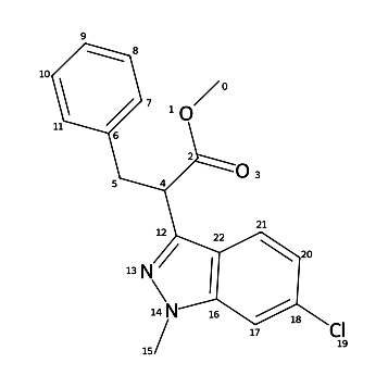 COC(=O)C(Cc1ccccc1)c1nn(C)c2cc(Cl)ccc12